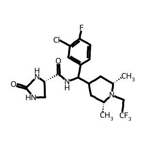 C[C@@H]1CC(C(NC(=O)[C@@H]2CNC(=O)N2)c2ccc(F)c(Cl)c2)C[C@H](C)N1CC(F)(F)F